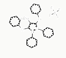 CCCCc1c(Oc2ccccc2)n(-c2ccccc2)[n+](-c2ccccc2)c1Oc1ccccc1.F[B-](F)(F)F